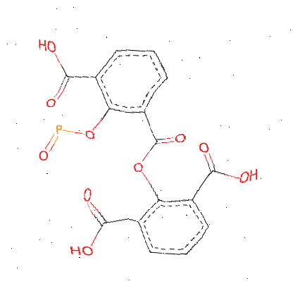 O=POc1c(C(=O)O)cccc1C(=O)Oc1c(C(=O)O)cccc1C(=O)O